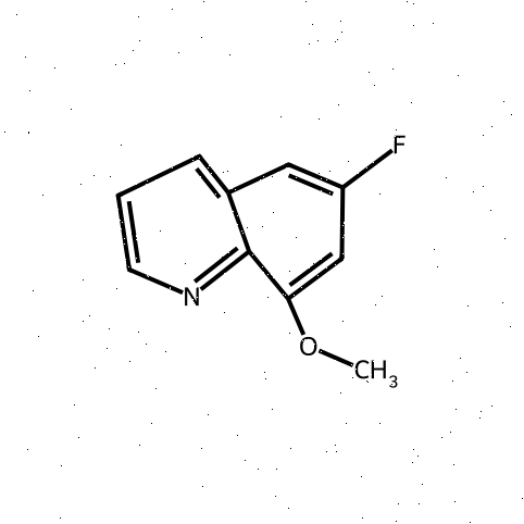 COc1cc(F)cc2cccnc12